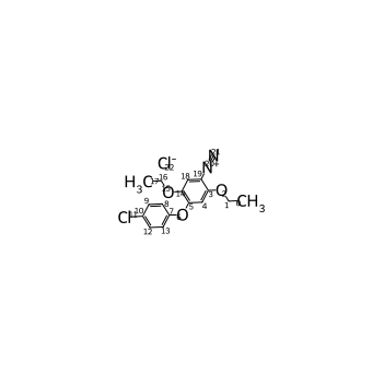 CCOc1cc(Oc2ccc(Cl)cc2)c(OCC)cc1[N+]#N.[Cl-]